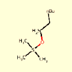 CCCCC[SiH2]O[Si](C)(C)C